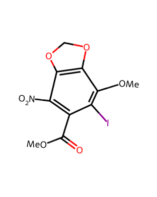 COC(=O)c1c(I)c(OC)c2c(c1[N+](=O)[O-])OCO2